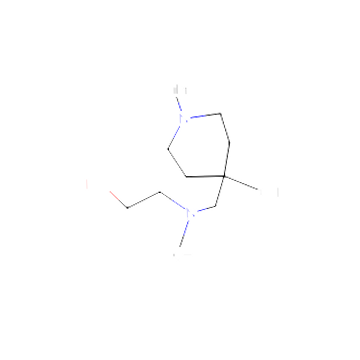 CC(C)N1CCC(C)(CN(C)CCO)CC1